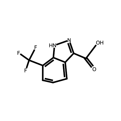 O=C(O)c1n[nH]c2c(C(F)(F)F)cccc12